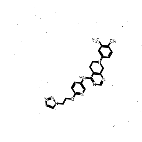 N#Cc1ccc(N2CCc3c(ncnc3Nc3ccc(OCCn4ccnn4)nc3)C2)cc1C(F)(F)F